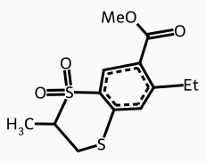 CCc1cc2c(cc1C(=O)OC)S(=O)(=O)C(C)CS2